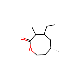 CCC1C[C@H](C)CCOC(=O)C1C